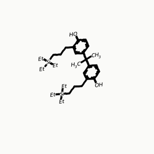 CC[Si](CC)(CC)CCCc1cc(C(C)(C)c2ccc(O)c(CCC[Si](CC)(CC)CC)c2)ccc1O